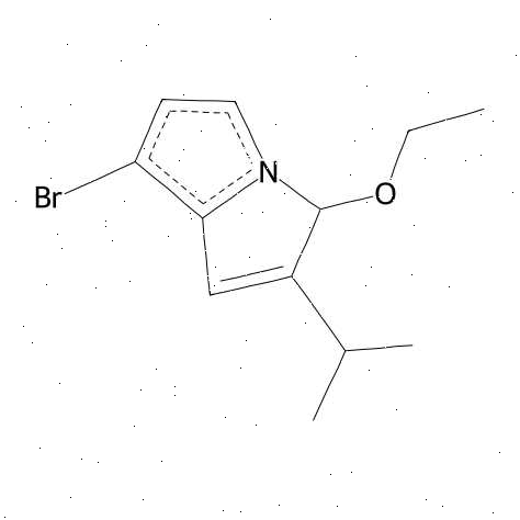 CCOC1C(C(C)C)=Cc2c(Br)ccn21